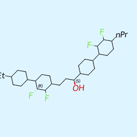 CCCC1CCC(C2CCC([C@@H](O)CCC3CCC(C4CCC(CC)CC4)[C@@H](F)C3F)CC2)C(F)C1F